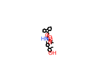 CCc1cc(O)ccc1-c1ccc(C[C@H](NC(=O)OCC2c3ccccc3-c3ccccc32)C(=O)OC(C)(C)C)cc1